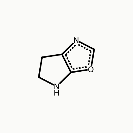 c1nc2c(o1)NCC2